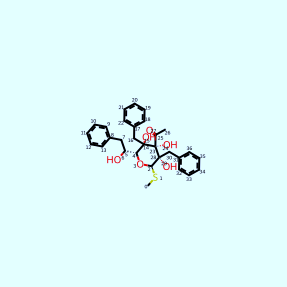 CS[C@H]1O[C@H](C(O)Cc2ccccc2)[C@](O)(Cc2ccccc2)[C@@](O)(C(C)=O)[C@@]1(O)Cc1ccccc1